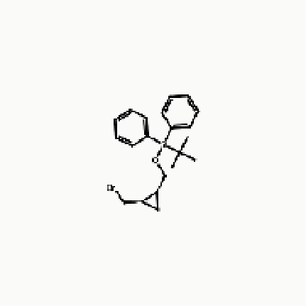 CC(C)(C)[Si](OC[C@H]1C[C@H]1CBr)(c1ccccc1)c1ccccc1